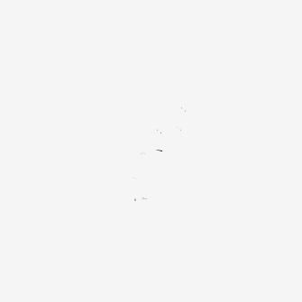 CCCCCN1CC2OCc3cnnn3[C@@H]2C1